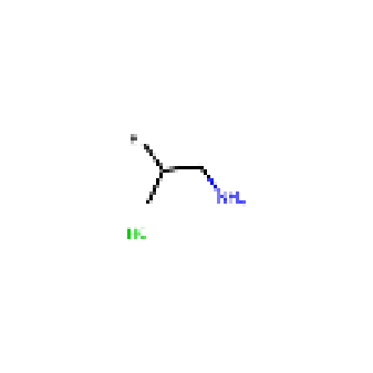 CCC(C)CN.Cl